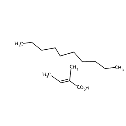 CC=C(C)C(=O)O.CCCCCCCCCC